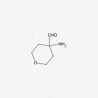 NC1([C]=O)CCOCC1